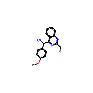 CC(C)Oc1ccc(C(N)c2nc(CCl)nc3ccccc23)cc1